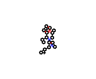 CC1(C)c2ccccc2-c2ccc(-c3ccc(-n4c5ccccc5c5ccccc54)c(-c4ccc(N(c5cccc(-c6ccc7ccccc7c6)c5)c5cc(-c6ccc7c(c6)Oc6ccccc6C76c7ccccc7-c7ccccc76)cc(-c6cccc7ccccc67)c5)cc4)c3)cc21